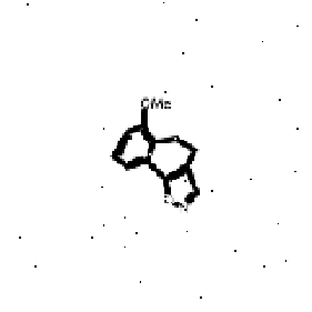 COc1cccc2c1CCc1cnoc1-2